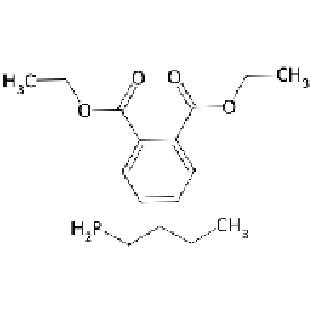 CCCCP.CCOC(=O)c1ccccc1C(=O)OCC